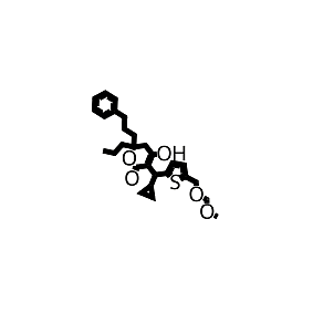 CCCC1(CCCc2ccccc2)CC(O)=C(C(c2ccc(COCOC)s2)C2CC2)C(=O)O1